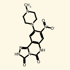 CN1CCN(c2cc3c(cc2[N+](=O)[O-])[nH]c(=O)n2c(=O)[nH]nc32)CC1